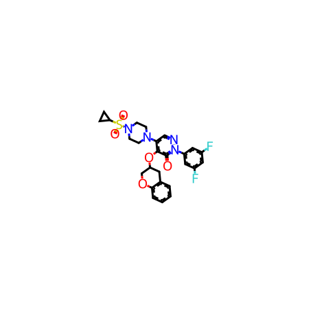 O=c1c(OC2COc3ccccc3C2)c(N2CCN(S(=O)(=O)C3CC3)CC2)cnn1-c1cc(F)cc(F)c1